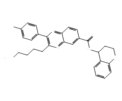 O=C(O)CCCCc1nc2cc(C(=O)NC3CCOc4ccccc43)ccc2nc1-c1ccc(F)cc1